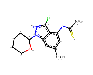 CNC(=S)Nc1cc(C(=O)O)cc2c1c(Cl)nn2C1CCCCO1